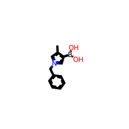 Cc1cn(Cc2ccccc2)cc1B(O)O